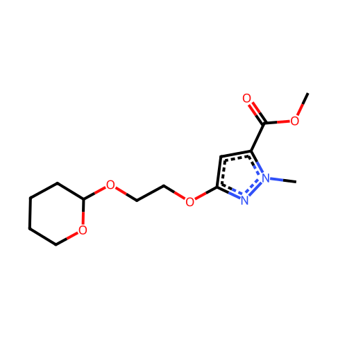 COC(=O)c1cc(OCCOC2CCCCO2)nn1C